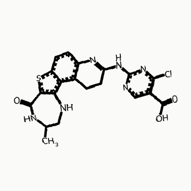 CC1CNc2c(sc3ccc4c(c23)CCC(Nc2ncc(C(=O)O)c(Cl)n2)=N4)C(=O)N1